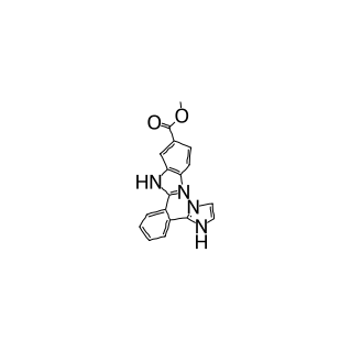 COC(=O)c1ccc2nc(-c3ccccc3-c3ncc[nH]3)[nH]c2c1